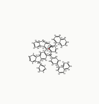 c1ccc(-n2c3ccccc3c3cc(-c4cccc5sc6ccccc6c45)c(N(c4ccc(-c5cccc6ccccc56)cc4)c4ccc(-c5cccc6ccccc56)cc4)cc32)cc1